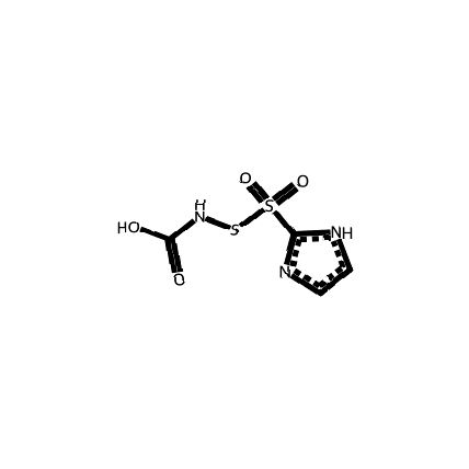 O=C(O)NSS(=O)(=O)c1ncc[nH]1